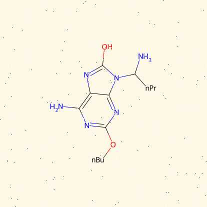 CCCCOc1nc(N)c2nc(O)n(C(N)CCC)c2n1